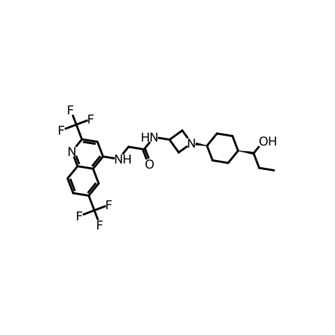 CCC(O)[C@H]1CC[C@@H](N2CC(NC(=O)CNc3cc(C(F)(F)F)nc4ccc(C(F)(F)F)cc34)C2)CC1